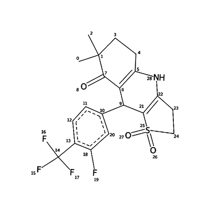 CC1(C)CCC2=C(C1=O)C(c1ccc(C(F)(F)F)c(F)c1)C1=C(CCS1(=O)=O)N2